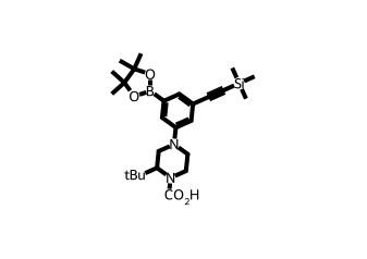 CC(C)(C)C1CN(c2cc(C#C[Si](C)(C)C)cc(B3OC(C)(C)C(C)(C)O3)c2)CCN1C(=O)O